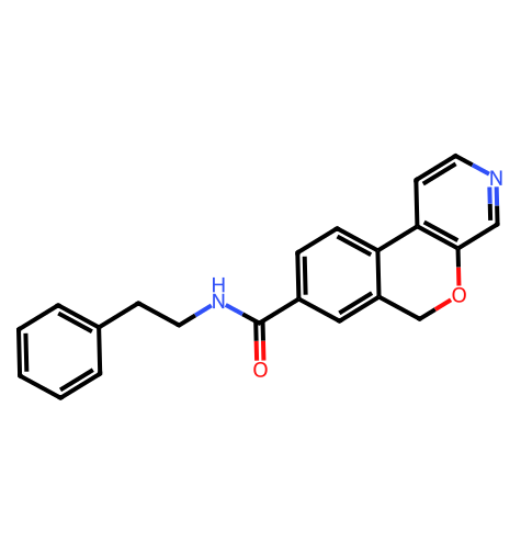 O=C(NCCc1ccccc1)c1ccc2c(c1)COc1cnccc1-2